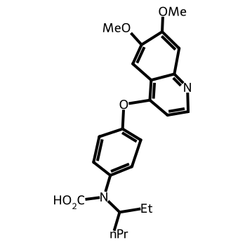 CCCC(CC)N(C(=O)O)c1ccc(Oc2ccnc3cc(OC)c(OC)cc23)cc1